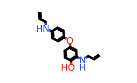 C=CCNc1ccc(Oc2ccc(O)c(NCC=C)c2)cc1